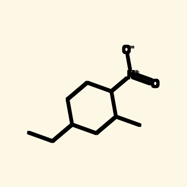 CCC1CCC([N+](=O)[O-])C(C)C1